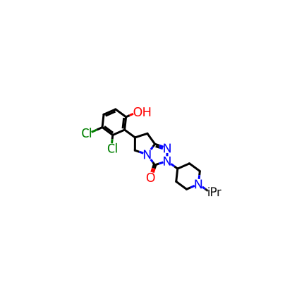 CC(C)N1CCC(n2nc3n(c2=O)CC(c2c(O)ccc(Cl)c2Cl)C3)CC1